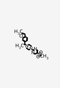 CC(c1ccc2c(c1)O[C@H](C)C2)N1CCN(c2ncc(S(C)(=O)=O)cn2)CC1